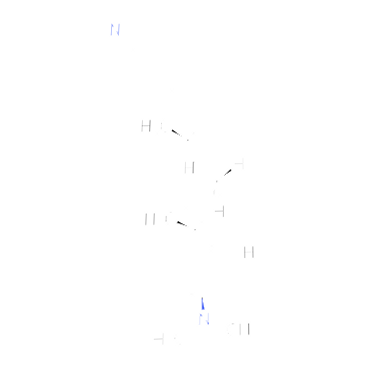 CN(C)[C@H]1CC[C@@]2(C)[C@@H](CC[C@@H]3[C@@H]2CC[C@]2(C)C(c4ccc5ncccc5c4)=CC[C@@H]32)C1